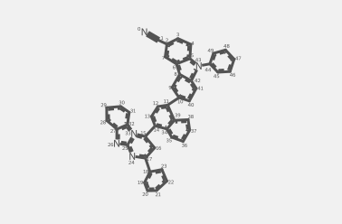 N#Cc1ccc2c(c1)c1cc(-c3ccc(-c4cc(-c5ccccc5)nc5nc6ccccc6n45)c4ccccc34)ccc1n2-c1ccccc1